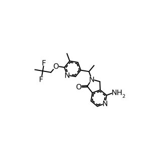 Cc1cc(C(C)N2Cc3c(ccnc3N)C2=O)cnc1OCC(C)(F)F